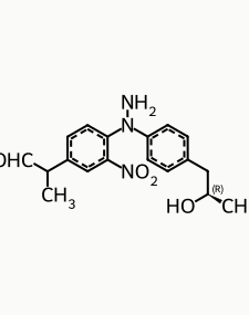 CC(C=O)c1ccc(N(N)c2ccc(C[C@@H](C)O)cc2)c([N+](=O)[O-])c1